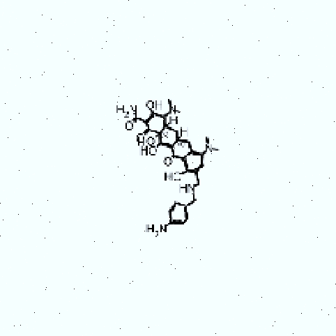 CN(C)c1cc(CNCc2ccc(N)cc2)c(O)c2c1C[C@H]1C[C@H]3C(N(C)C)C(O)=C(C(N)=O)C(=O)[C@@]3(O)C(O)=C1C2=O